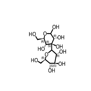 OC[C@H]1OC([C@]2(O)[C@H](O)[C@@H](CO)OC(O)[C@@H]2O)[C@H](O)[C@@H](O)[C@@H]1O